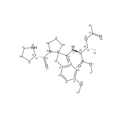 COC(=O)[C@@H](NC(=O)C1(Cc2ccc(OC)cc2)CCCN1C(=O)[C@@H]1CCCN1)[C@@H](C)OC(C)=O